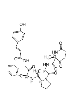 C[C@H](NC(=O)[C@]1(C)NC(=O)CCC1=O)C(=O)N1CCC[C@H]1C(=O)N[C@@H](Cc1ccccc1)C(=O)CNC(=O)C=Cc1ccc(O)cc1